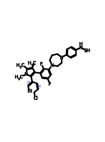 CC/C=C(\C=C/CCl)c1c(-c2cc(F)cc(N3CCCN(c4ccc(NS)cc4)CC3)c2F)c(C)c(C)n1C